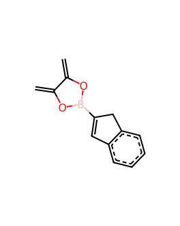 C=C1OB(C2=Cc3ccccc3C2)OC1=C